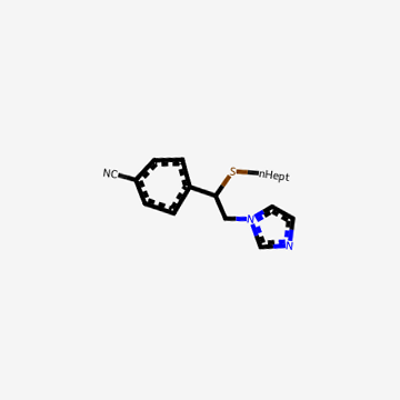 CCCCCCCSC(Cn1ccnc1)c1ccc(C#N)cc1